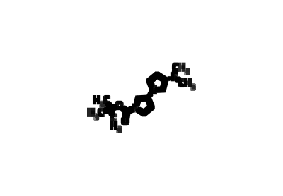 CN(C)[C@H]1CCN([C@H]2CCN(C(=O)OC(C)(C)C)C2)C1